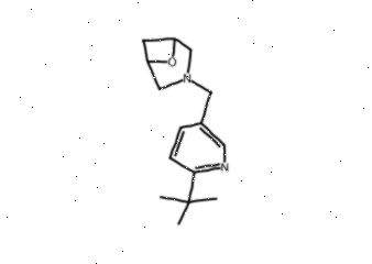 CC(C)(C)c1ccc(CN2CC3CC(C2)O3)cn1